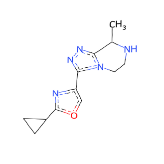 CC1NCCn2c(-c3coc(C4CC4)n3)nnc21